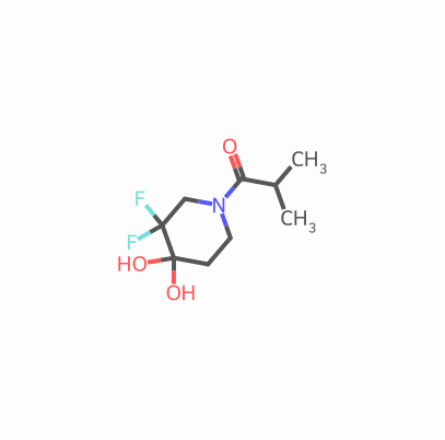 CC(C)C(=O)N1CCC(O)(O)C(F)(F)C1